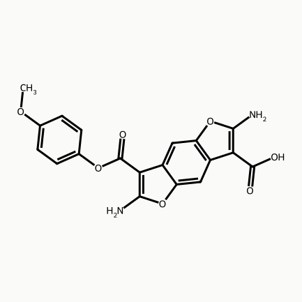 COc1ccc(OC(=O)c2c(N)oc3cc4c(C(=O)O)c(N)oc4cc23)cc1